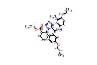 C=CNc1ccc(NC(c2cccc(OCCC)c2)c2nnnn2C2CCCCC2C(=O)OCC)cc1N